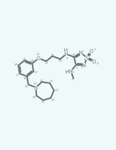 CNC1=NS(=O)(=O)N=C1NCCCOc1cccc(CN2CCCCCC2)c1